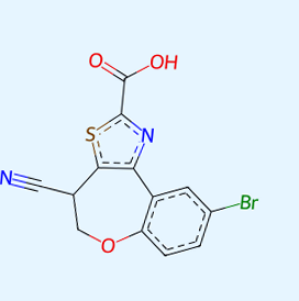 N#CC1COc2ccc(Br)cc2-c2nc(C(=O)O)sc21